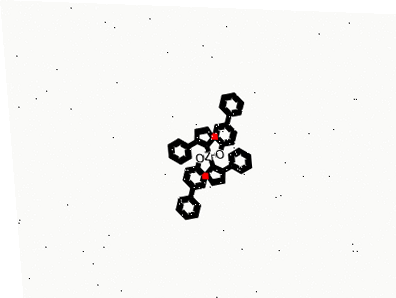 C1=CC(c2ccccc2)=[C]([Zr]([O]c2ccc(-c3ccccc3)cc2)([O]c2ccc(-c3ccccc3)cc2)[C]2=C(c3ccccc3)C=CC2)C1